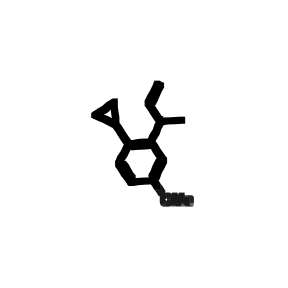 C=C[C](C)c1cc(OC)ccc1C1CC1